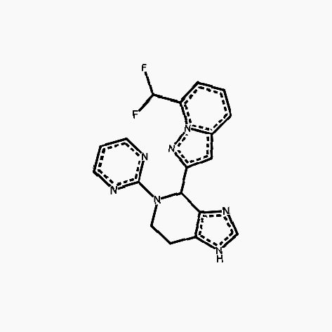 FC(F)c1cccc2cc(C3c4nc[nH]c4CCN3c3ncccn3)nn12